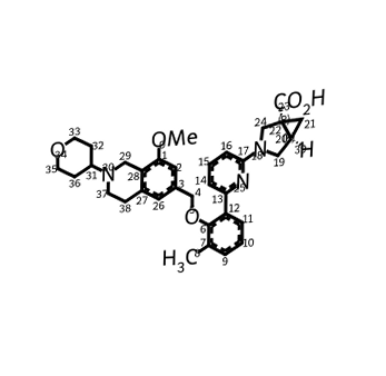 COc1cc(COc2c(C)cccc2-c2cccc(N3C[C@@H]4C[C@]4(C(=O)O)C3)n2)cc2c1CN(C1CCOCC1)CC2